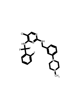 CN1CCN(c2cccc(CNc3ncc(Cl)c(NC(F)(F)c4ccccc4F)n3)c2)CC1